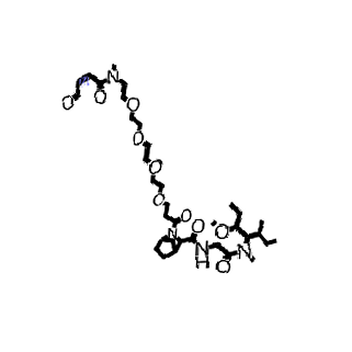 CCC(C)C(C(CC)OC)N(C)C(=O)CNC(=O)C1C2CCC(C2)N1C(=O)CCOCCOCCOCCOCCN(C)C(=O)/C=C\C=O